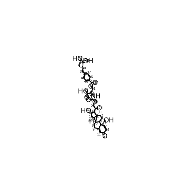 C[C@]12C[C@H](O)C3(F)[C@@H](CCC4=CC(=O)C=C[C@@]43C)C1CC(O)C2C(=O)COC(=O)NC(COC(=O)c1ccc(CCON(O)O)cc1)C(=O)O